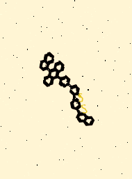 c1ccc2c(-c3c4ccccc4c(-c4ccc(-c5ccc6sc7c(ccc8c9ccc%10ccccc%10c9sc87)c6c5)cc4)c4ccccc34)cccc2c1